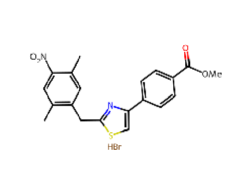 Br.COC(=O)c1ccc(-c2csc(Cc3cc(C)c([N+](=O)[O-])cc3C)n2)cc1